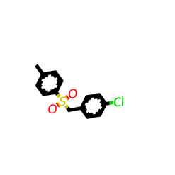 Cc1ccc(S(=O)(=O)Cc2ccc(Cl)cc2)cc1